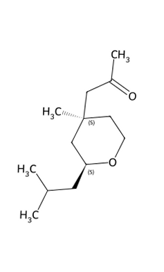 CC(=O)C[C@@]1(C)CCO[C@@H](CC(C)C)C1